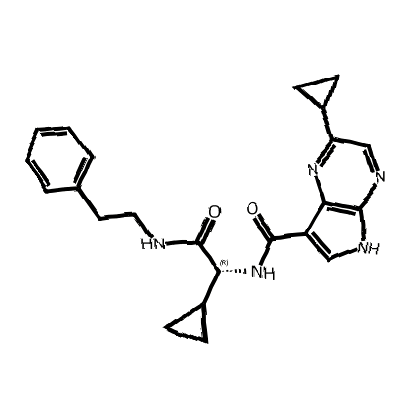 O=C(N[C@@H](C(=O)NCCc1ccccc1)C1CC1)c1c[nH]c2ncc(C3CC3)nc12